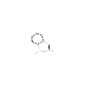 CN1CC(Br)=Cc2ccccc21